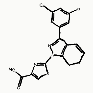 O=C(O)c1csc(-n2nc(-c3cc(Cl)cc(Cl)c3)c3c2CCC=C3)n1